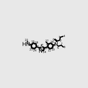 C=C(CCC)N(CCC)c1ccc(-c2cnc(-c3ccc(NC)cc3)s2)c(C)c1